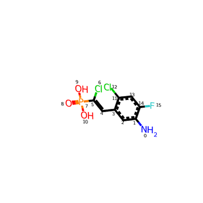 Nc1cc(C=C(Cl)P(=O)(O)O)c(Cl)cc1F